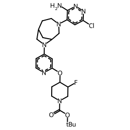 CC(C)(C)OC(=O)N1CCC(Oc2cc(N3CC4CCN(c5cc(Cl)nnc5N)CC3C4)ccn2)C(F)C1